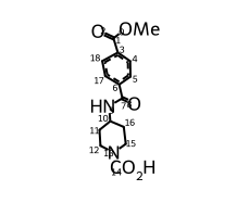 COC(=O)c1ccc(C(=O)NC2CCN(C(=O)O)CC2)cc1